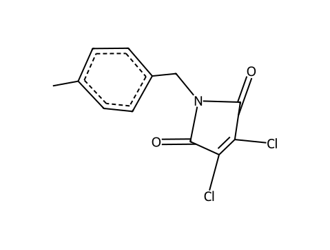 Cc1ccc(CN2C(=O)C(Cl)=C(Cl)C2=O)cc1